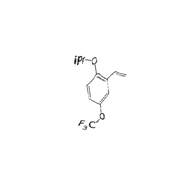 C=Cc1cc(OC(F)(F)F)ccc1OC(C)C